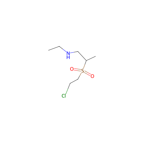 CCNCC(C)S(=O)(=O)CCCl